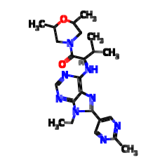 CCn1c(-c2cnc(C)nc2)nc2c(N[C@@H](C(=O)N3CC(C)OC(C)C3)C(C)C)ncnc21